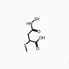 CSC(CC(=O)NS)C(=O)O